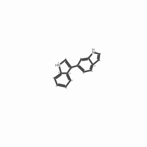 [c]1c[nH]c2cc(-c3c[nH]c4ccccc34)ccc12